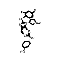 CC(=O)N1CC[C@@H](n2c(Nc3ccc(F)cc3F)nc3cnc(N[C@H]4CC[C@H](O)CC4)nc32)C1